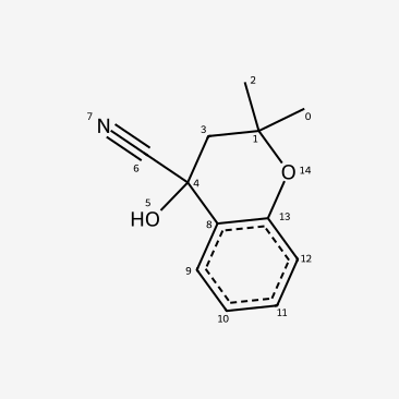 CC1(C)CC(O)(C#N)c2ccccc2O1